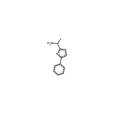 CC(N)c1nc(-c2ccccc2)cs1